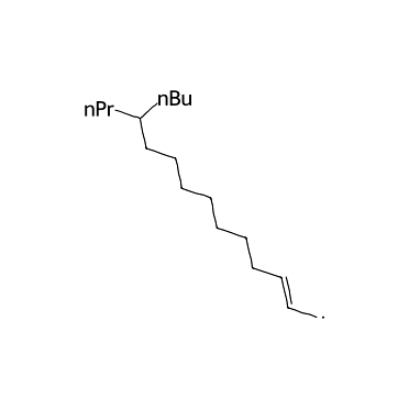 [CH2]/C=C/CCCCCCCC(CC[CH2])CCCC